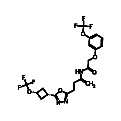 C=C(CCc1nnc([C@H]2C[C@@H](OC(F)(F)F)C2)o1)NC(=O)COc1cccc(OC(F)(F)F)c1